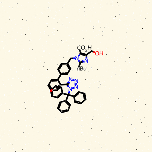 CCCCc1nc(CO)c(C(=O)O)n1Cc1ccc(-c2ccccc2-c2nnnn2C(c2ccccc2)(c2ccccc2)c2ccccc2)cc1